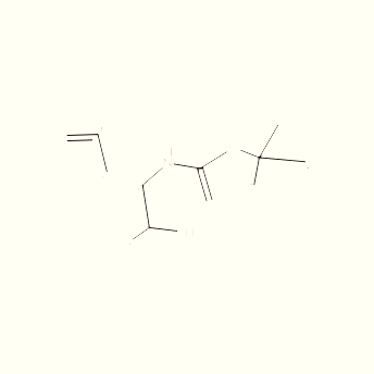 [2H]C(O)[C@H](CC=C)NC(=O)OC(C)(C)C